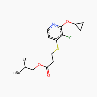 CCCCC(CC)COC(=O)CCSc1ccnc(OC2CC2)c1Cl